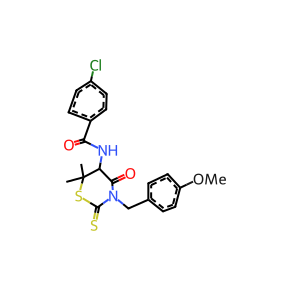 COc1ccc(CN2C(=O)C(NC(=O)c3ccc(Cl)cc3)C(C)(C)SC2=S)cc1